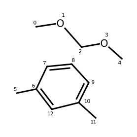 COCOC.Cc1cccc(C)c1